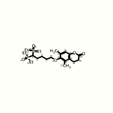 CCP(=O)(CC)C(CCCCOc1c(C)cc2c(c1C)CCC(=O)O2)P(=O)(CC)CC